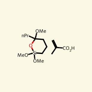 C=C(C)C(=O)O.CCCC1(OC)CCC[Si](OC)(OC)O1